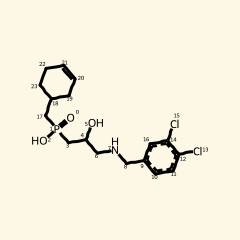 O=P(O)(CC(O)CNCc1ccc(Cl)c(Cl)c1)CC1CC=CCC1